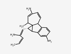 C/C=C\C(N)=C/[C@H]1C2c3cc(N)ccc3C3C=CC(N)=CC(C)C321